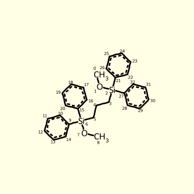 CO[Si](CCC[Si](OC)(c1ccccc1)c1ccccc1)(c1ccccc1)c1ccccc1